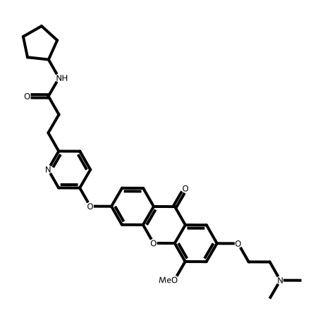 COc1cc(OCCN(C)C)cc2c(=O)c3ccc(Oc4ccc(CCC(=O)NC5CCCC5)nc4)cc3oc12